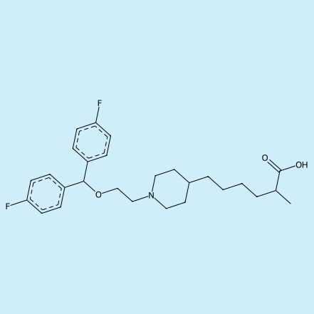 CC(CCCCC1CCN(CCOC(c2ccc(F)cc2)c2ccc(F)cc2)CC1)C(=O)O